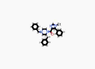 [CH2]Cn1cnc(C(=O)N2CCN(Cc3ccccc3)C[C@H]2Cc2ccccc2)c1-c1ccccc1